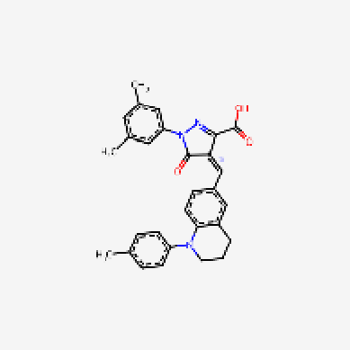 Cc1ccc(N2CCCc3cc(/C=C4\C(=O)N(c5cc(C)cc(C)c5)N=C4C(=O)O)ccc32)cc1